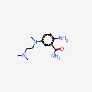 CN(C)CCN(C)c1ccc(N)c(C(N)=O)c1